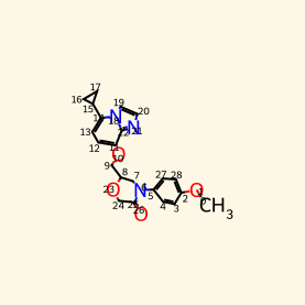 COc1ccc(N2CC(COc3ccc(C4CC4)n4ccnc34)OCC2=O)cc1